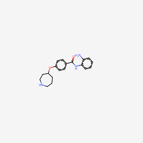 Nc1ccccc1NC(=O)c1ccc(OC2CCCNCC2)cc1